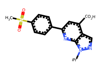 CC(C)n1ncc2c(C(=O)O)cc(-c3ccc(S(C)(=O)=O)cc3)nc21